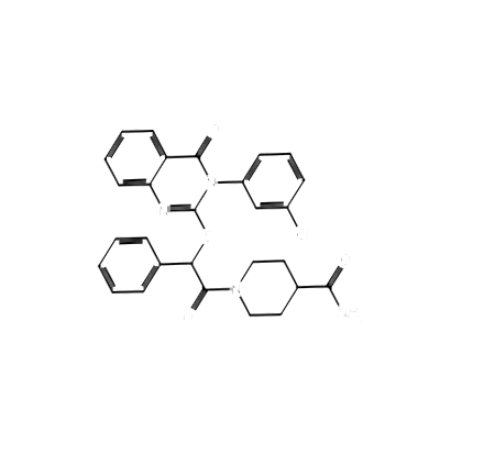 NC(=O)C1CCN(C(=O)C(Sc2nc3ccccc3c(=O)n2-c2cccc(Cl)c2)c2ccccc2)CC1